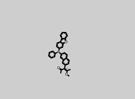 CO/C(C)=C(\C(C)=O)c1ccc2ccc(N(c3ccccc3)c3ccc4c(c3)oc3ccccc34)cc2c1